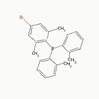 Cc1ccccc1B(c1ccccc1C)c1c(C)cc(Br)cc1C